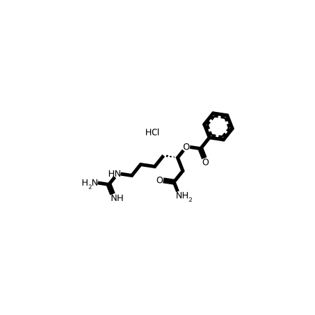 Cl.N=C(N)NCCCC[C@@H](CC(N)=O)OC(=O)c1ccccc1